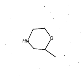 CC1CNC[CH]O1